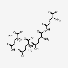 B.N[C@@H](CCC(=O)O)C(=O)[O-].N[C@@H](CCC(=O)O)C(=O)[O-].N[C@@H](CCC(=O)O)C(=O)[O-].N[C@@H](CCC(=O)O)C(=O)[O-].[Zr+4]